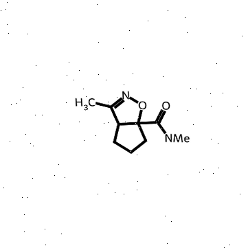 CNC(=O)C12CCCC1C(C)=NO2